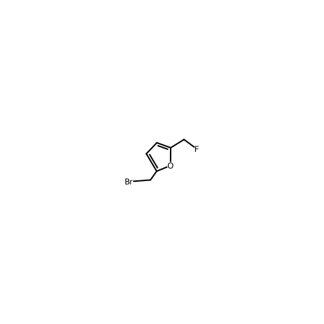 FCc1ccc(CBr)o1